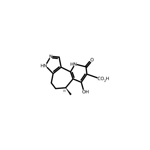 C[C@H]1CCc2[nH]ncc2-c2[nH]c(=O)c(C(=O)O)c(O)c21